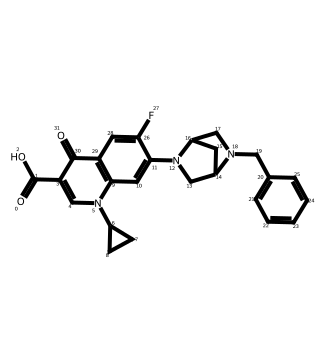 O=C(O)c1cn(C2CC2)c2cc(N3CC4CC3CN4Cc3ccccc3)c(F)cc2c1=O